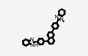 Cn1c(-c2ccc(-c3ccc4c(-c5ccc(-c6nc7ccccc7[nH]6)cc5)cccc4c3)cc2)nc2c1C=CCC2